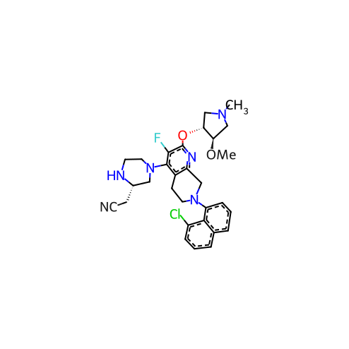 CO[C@@H]1CN(C)C[C@H]1Oc1nc2c(c(N3CCN[C@@H](CC#N)C3)c1F)CCN(c1cccc3cccc(Cl)c13)C2